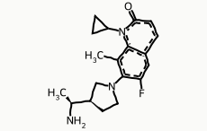 Cc1c(N2CC[C@@H]([C@H](C)N)C2)c(F)cc2ccc(=O)n(C3CC3)c12